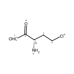 N[C@@H](CCCl)C(=O)C=O